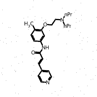 CCCN(CCC)CCOc1cc(NC(=O)C=Cc2ccncc2)ccc1C